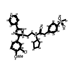 COc1ccc(-c2nc(-c3ccncc3)nn2CCN(C(=O)Cc2ccc(S(C)(=O)=O)cc2)C2CCCC2)cc1Cl